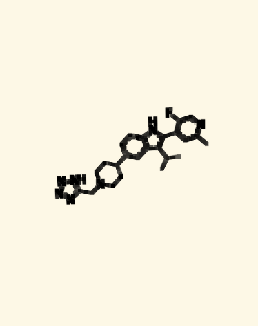 Cc1cc(-c2[nH]c3ccc(C4CCN(Cc5nnn[nH]5)CC4)cc3c2C(C)C)c(F)cn1